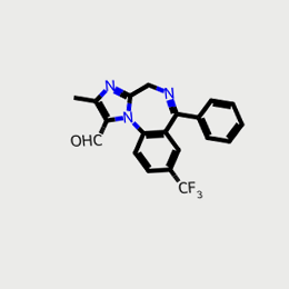 Cc1nc2n(c1C=O)-c1ccc(C(F)(F)F)cc1C(c1ccccc1)=NC2